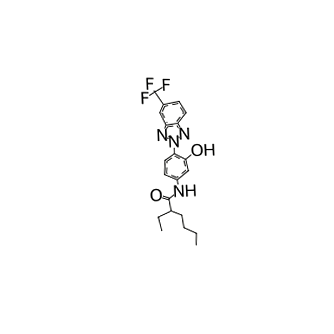 CCCCC(CC)C(=O)Nc1ccc(-n2nc3ccc(C(F)(F)F)cc3n2)c(O)c1